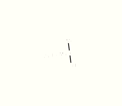 [BH2][Cu][Mo].[Fe].[Mn].[Zn]